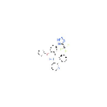 FC(F)(F)c1nnnn1-c1ccc(OC2CCCC2)c(CN[C@H]2CCCN[C@H]2c2ccccc2)c1